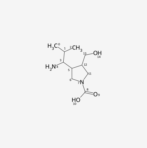 CC(C)C(N)C1CN(C(=O)O)CC1CO